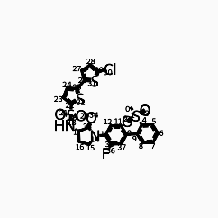 CS(=O)(=O)c1ccccc1-c1ccc(N2CC[C@H](NS(=O)(=O)c3ccc(-c4ccc(Cl)s4)s3)C2=O)c(F)c1